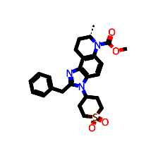 COC(=O)N1c2ccc3c(nc(Cc4ccccc4)n3C3CCS(=O)(=O)CC3)c2CC[C@@H]1C